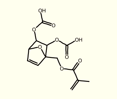 C=C(C)C(=O)OCC12C=CC(O1)C(OC(=O)O)C2OC(=O)O